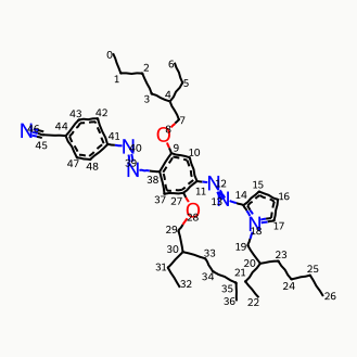 CCCCC(CC)COc1cc(N=Nc2cccn2CC(CC)CCCC)c(OCC(CC)CCCC)cc1N=Nc1ccc(C#N)cc1